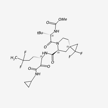 COC(=O)N[C@H](C(=O)N1CC[C@]2(C[C@H]1C(=O)N[C@@H](CCC(C)(F)F)C(=O)C(=O)NC1CC1)CC2(F)F)C(C)(C)C